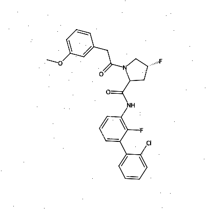 COc1cccc(CC(=O)N2C[C@H](F)CC2C(=O)Nc2cccc(-c3ccccc3Cl)c2F)c1